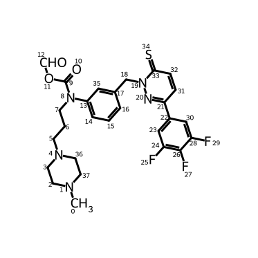 CN1CCN(CCCN(C(=O)OC=O)c2cccc(Cn3nc(-c4cc(F)c(F)c(F)c4)ccc3=S)c2)CC1